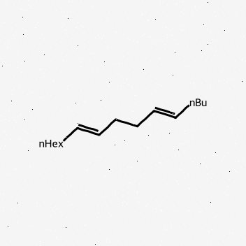 CCCCC=CCCC=CCCCCCC